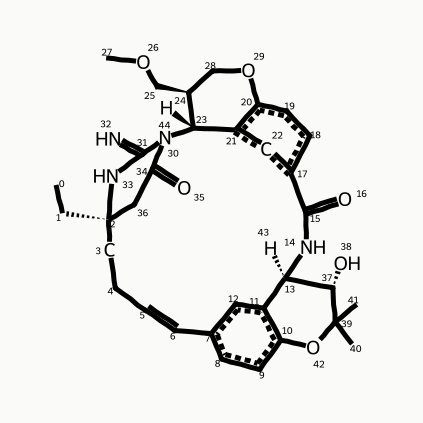 CC[C@]12CC/C=C\c3ccc4c(c3)[C@@H](NC(=O)c3ccc5c(c3)[C@@H]([C@@H](COC)CO5)N(C(=N)N1)C(=O)C2)[C@H](O)C(C)(C)O4